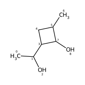 CC(O)C1CC(C)C1O